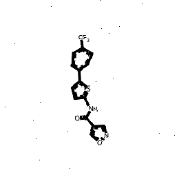 O=C(Nc1ccc(-c2ccc(C(F)(F)F)cc2)s1)c1cnoc1